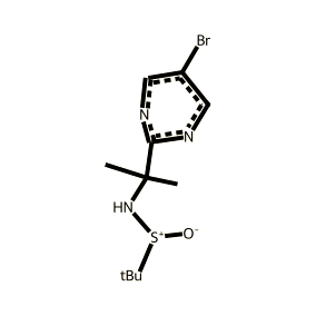 CC(C)(N[S+]([O-])C(C)(C)C)c1ncc(Br)cn1